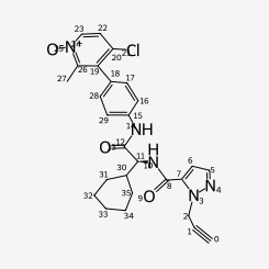 C#CCn1nccc1C(=O)N[C@H](C(=O)Nc1ccc(-c2c(Cl)cc[n+]([O-])c2C)cc1)C1CCCCC1